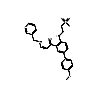 COc1ccc(-c2ccc(NCCS(=O)(=O)F)c(C(=N)/C=C\NCc3cccnc3)c2)cc1